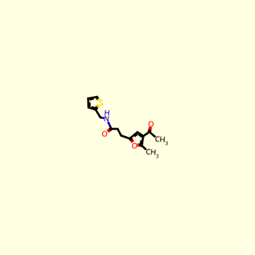 CC(=O)c1cc(CCC(=O)NCc2cccs2)oc1C